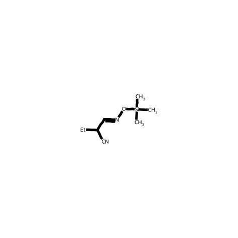 CCC(C#N)/C=N/O[Si](C)(C)C